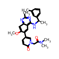 COc1cc2nc(C)nc(N[C@H](C)c3cccc(C)c3)c2cc1-c1ccc(=O)n(CC(=O)N(C)C)c1